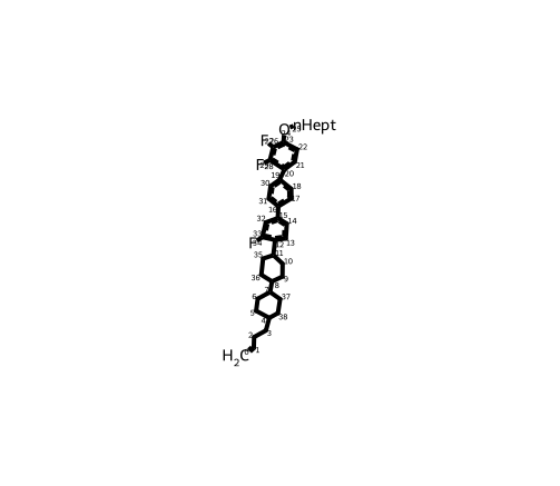 C=CCCC1CCC(C2CCC(c3ccc(-c4ccc(-c5ccc(OCCCCCCC)c(F)c5F)cc4)cc3F)CC2)CC1